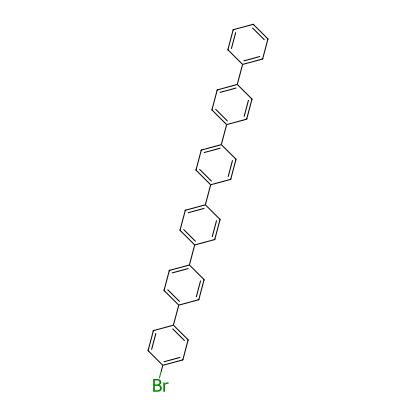 Brc1ccc(-c2ccc(-c3ccc(-c4ccc(-c5ccc(-c6ccccc6)cc5)cc4)cc3)cc2)cc1